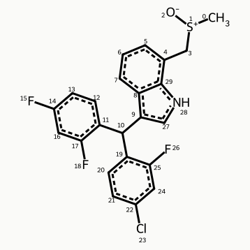 C[S+]([O-])Cc1cccc2c(C(c3ccc(F)cc3F)c3ccc(Cl)cc3F)c[nH]c12